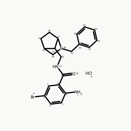 Cl.Nc1ccc(Br)cc1C(=O)NCC1C2CCC1N(Cc1ccccc1)C2